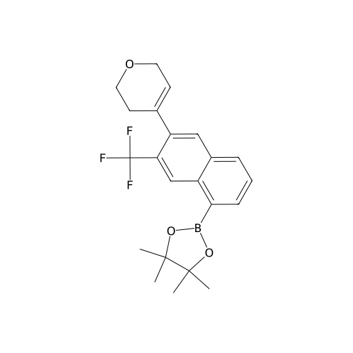 CC1(C)OB(c2cccc3cc(C4=CCOCC4)c(C(F)(F)F)cc23)OC1(C)C